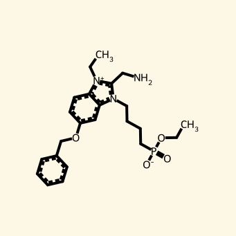 CCOP(=O)([O-])CCCCn1c(CN)[n+](CC)c2ccc(OCc3ccccc3)cc21